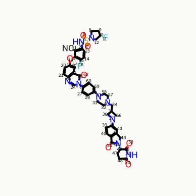 N#Cc1c(NS(=O)(=O)N2CC[C@H](F)C2)ccc(F)c1Oc1ccc2ncn(-c3ccc(N4CCN(CC5CN(c6ccc7c(c6)CN([C@@H]6CCC(=O)NC6=O)C7=O)C5)CC4)cc3)c(=O)c2c1